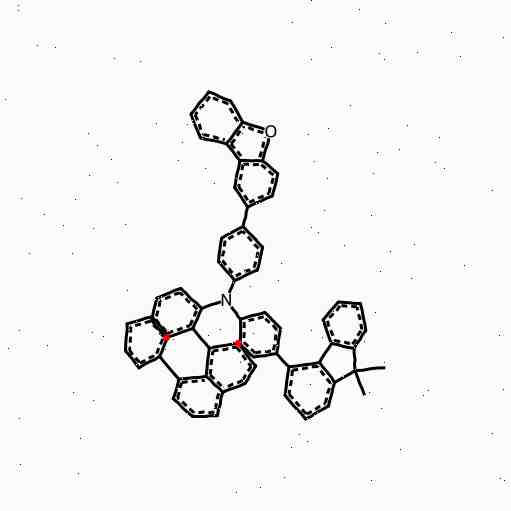 CC1(C)c2ccccc2-c2c(-c3ccc(N(c4ccc(-c5ccc6oc7ccccc7c6c5)cc4)c4ccccc4-c4cccc5cccc(-c6ccccc6)c45)cc3)cccc21